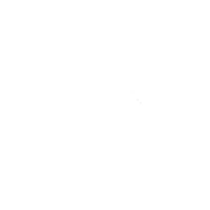 O=C1NC(=O)c2c1cc(O)c(O)c2Cl